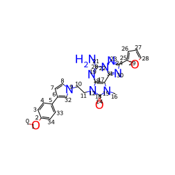 COc1ccc(-c2ccn(CCn3c(=O)n(C)c4c3nc(N)n3nc(-c5ccco5)nc43)c2)cc1